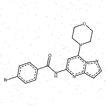 O=C(Nc1cc(N2CCOCC2)n2nccc2n1)c1ccc(Br)cc1